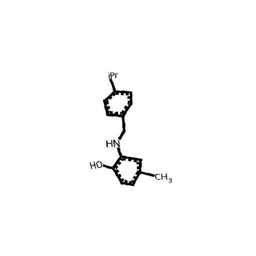 Cc1ccc(O)c(NCc2ccc(C(C)C)cc2)c1